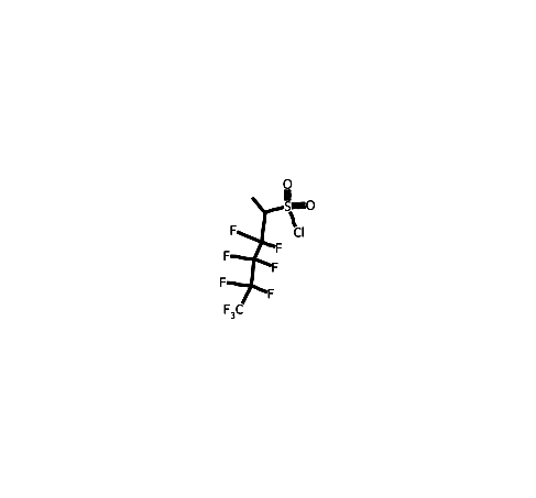 CC(C(F)(F)C(F)(F)C(F)(F)C(F)(F)F)S(=O)(=O)Cl